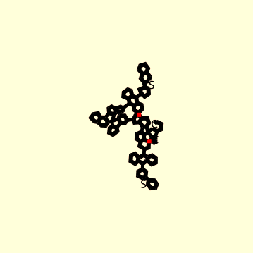 c1ccc2c(c1)-c1cc(-c3ccc4ccc5c(c4c3)-c3ccc4cc(-c6c7ccccc7c(-c7ccc8sc9ccccc9c8c7)c7ccccc67)ccc4c3C53c4ccccc4-c4ccccc43)ccc1C21c2ccc3ccccc3c2-c2ccc3cc(-c4c5ccccc5c(-c5ccc6sc7cc8ccccc8cc7c6c5)c5ccccc45)ccc3c21